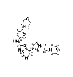 c1cc(N2CCOCC2)ccc1Nc1nc2cncc(-c3cnn(CCN4CCOCC4)c3)n2n1